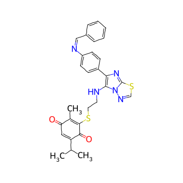 CC1=C(SCCNc2c(-c3ccc(/N=C\c4ccccc4)cc3)nc3scnn23)C(=O)C(C(C)C)=CC1=O